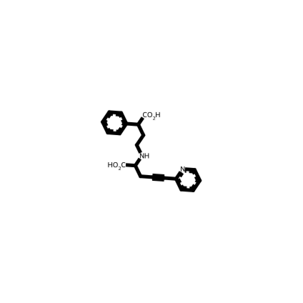 O=C(O)C(CC#Cc1ccccn1)NCCC(C(=O)O)c1ccccc1